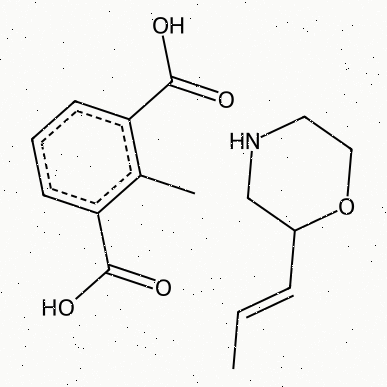 CC=CC1CNCCO1.Cc1c(C(=O)O)cccc1C(=O)O